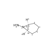 NN1[C@@H]2CCCC[C@@H]21